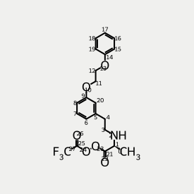 C[C@H](NCCc1cccc(OCCOc2ccccc2)c1)C(=O)OOC(=O)C(F)(F)F